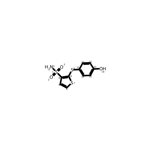 NS(=O)(=O)c1ccsc1Sc1ccc(O)cc1